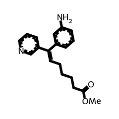 COC(=O)CCCCC=C(c1cccnc1)c1cccc(N)c1